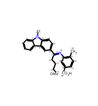 CCn1c2ccccc2c2cc(/C(CCCOC)=N/c3cc(C(=O)O)ccc3C)ccc21